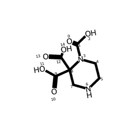 O=C(O)N1CCNCC1(C(=O)O)C(=O)O